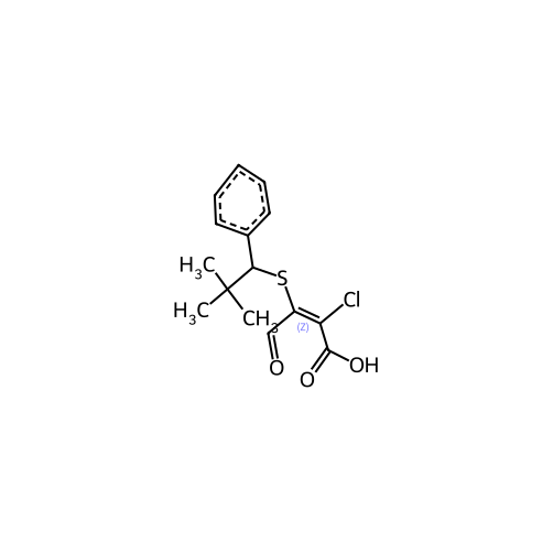 CC(C)(C)C(S/C(C=O)=C(\Cl)C(=O)O)c1ccccc1